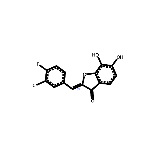 O=C1/C(=C/c2ccc(F)c(Cl)c2)Oc2c1ccc(O)c2O